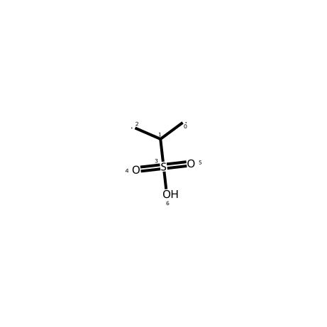 [CH2]C([CH2])S(=O)(=O)O